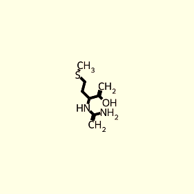 C=C(N)NC(CCSC)C(=C)O